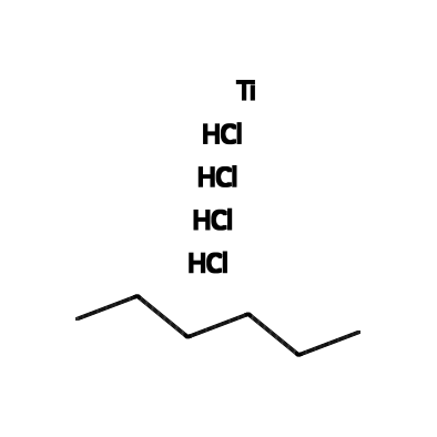 CCCCCC.Cl.Cl.Cl.Cl.[Ti]